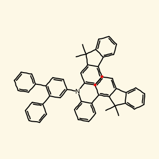 CC1(C)c2ccccc2-c2ccc(N(c3ccc(-c4ccccc4)c(-c4ccccc4)c3)c3ccccc3-c3cccc4c3C(C)(C)c3ccccc3-4)cc21